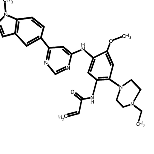 C=CC(=O)Nc1cc(Nc2cc(-c3ccc4c(cnn4C)c3)ncn2)c(OC)cc1N1CCN(CC)CC1